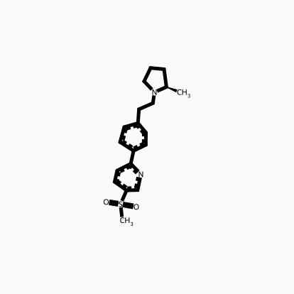 C[C@@H]1CCCN1CCc1ccc(-c2ccc(S(C)(=O)=O)cn2)cc1